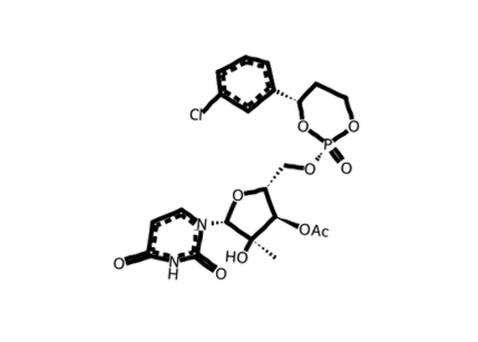 CC(=O)O[C@@H]1[C@@H](CO[P@@]2(=O)OCC[C@@H](c3cccc(Cl)c3)O2)O[C@@H](n2ccc(=O)[nH]c2=O)[C@]1(C)O